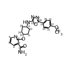 NC(=O)c1cccnc1O[C@H]1CC[C@H](Nc2nnc(-c3ccc(OC(F)(F)F)cc3)o2)CC1